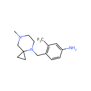 CN1CCN(Cc2ccc(N)cc2C(F)(F)F)C2(CC2)C1